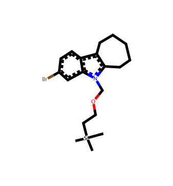 C[Si](C)(C)CCOCn1c2c(c3ccc(Br)cc31)CCCCC2